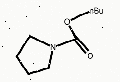 CCCCOC(=O)N1[CH]CCC1